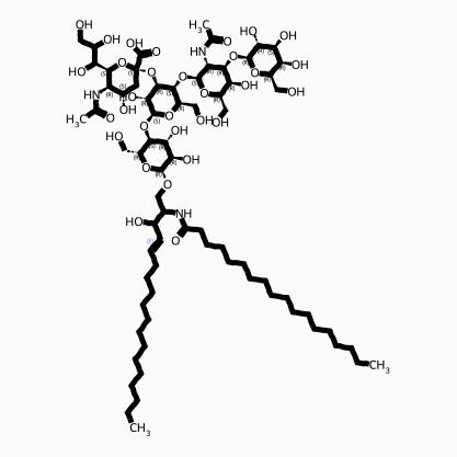 CCCCCCCCCCCCC/C=C/C(O)C(CO[C@@H]1O[C@H](CO)[C@@H](O[C@@H]2O[C@H](CO)[C@H](O[C@@H]3O[C@H](CO)[C@H](O)[C@H](O[C@@H]4O[C@H](CO)[C@H](O)[C@H](O)[C@H]4O)[C@H]3NC(C)=O)[C@H](O[C@]3(C(=O)O)C[C@H](O)[C@@H](NC(C)=O)[C@@H](C(O)C(O)CO)O3)[C@H]2O)[C@H](O)[C@H]1O)NC(=O)CCCCCCCCCCCCCCCCC